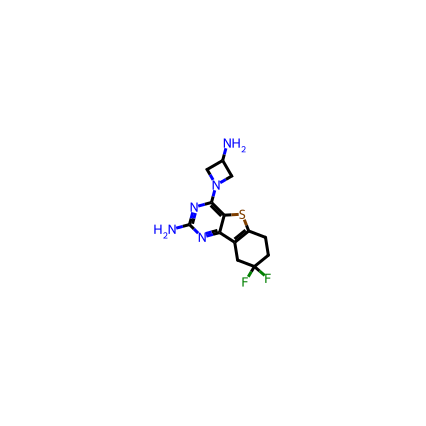 Nc1nc(N2CC(N)C2)c2sc3c(c2n1)CC(F)(F)CC3